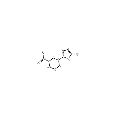 O=[N+]([O-])C1CN(c2ncc(Cl)o2)CCO1